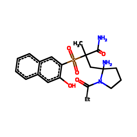 CCC(=O)N1CCCC1(N)CC(C)(C(N)=O)S(=O)(=O)c1cc2ccccc2cc1O